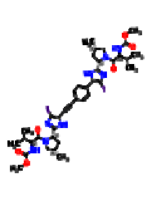 COC(=O)N[C@H](C(=O)N1C[C@@H](C)C[C@H]1c1nc(I)c(C#Cc2ccc(-c3[nH]c([C@@H]4C[C@H](C)CN4C(=O)[C@@H](NC(=O)OC)C(C)C)nc3I)cc2)[nH]1)C(C)C